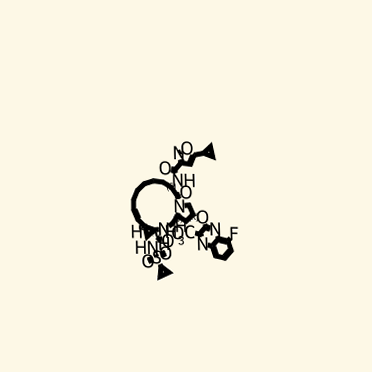 Cc1nc2cccc(F)c2nc1O[C@@H]1C[C@H]2C(=O)N[C@]3(C(=O)NS(=O)(=O)C4CC4)C[C@H]3C=CCCCCC[C@H](NC(=O)c3cc(C4CC4)on3)C(=O)N2C1